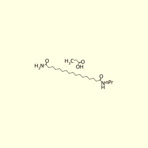 CCC(=O)O.CCCNC(=O)CCCCCCCCCCCCCCCC(N)=O